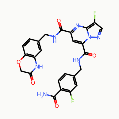 NC(=O)c1ccc(CNC(=O)c2cc(C(=O)NCc3ccc4c(c3)NC(=O)CO4)nc3c(F)cnn23)cc1F